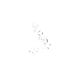 C=CC(=O)N1CC(CCn2c(=O)ccc3cnc(Nc4cccc(C(=O)N5CCCCC5)c4)nc32)C1